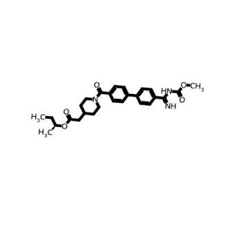 CC[C@H](C)OC(=O)CC1CCN(C(=O)c2ccc(-c3ccc(C(=N)NC(=O)OC)cc3)cc2)CC1